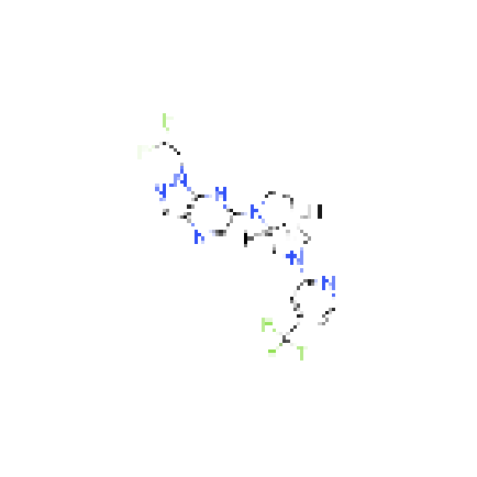 FC(F)Cn1ncc2ncc(N3CC[C@H]4CN(c5cc(C(F)(F)F)ccn5)C[C@H]43)nc21